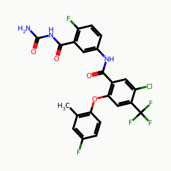 Cc1cc(F)ccc1Oc1cc(C(F)(F)F)c(Cl)cc1C(=O)Nc1ccc(F)c(C(=O)NC(N)=O)c1